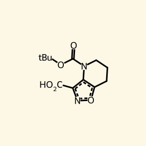 CC(C)(C)OC(=O)N1CCCc2onc(C(=O)O)c21